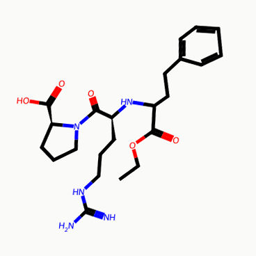 CCOC(=O)C(CCc1ccccc1)N[C@@H](CCCNC(=N)N)C(=O)N1CCC[C@H]1C(=O)O